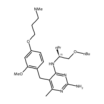 CCCCOC[C@H](CCC)Nc1nc(N)nc(C)c1Cc1ccc(OCCCNC)cc1OC